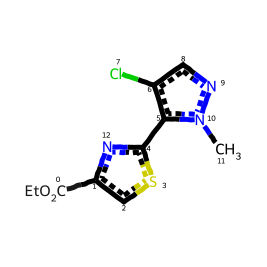 CCOC(=O)c1csc(-c2c(Cl)cnn2C)n1